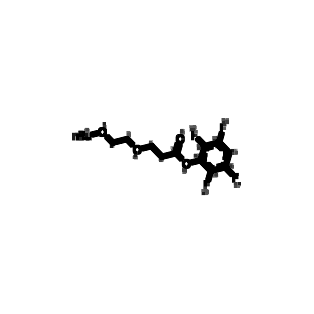 CCCCOCCOCCC(=O)Oc1c(F)c(F)cc(F)c1F